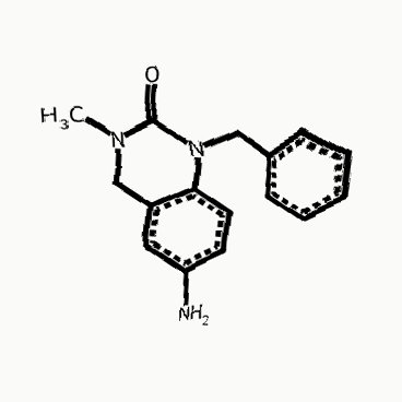 CN1Cc2cc(N)ccc2N(Cc2ccccc2)C1=O